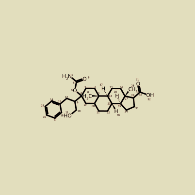 C[C@]12CCC(OC(N)=O)(C(CO)Cc3ccccc3)CC1CC[C@@H]1[C@@H]2CC[C@]2(C)C(C(=O)O)CC[C@@H]12